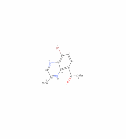 COC(=O)c1ccc(Br)c2ncc(OC)nc12